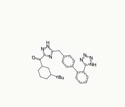 CCCCC1CCCC(C(=O)c2n[nH]c(Cc3ccc(-c4ccccc4-c4nnn[nH]4)cc3)n2)C1